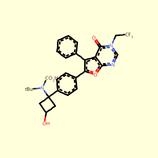 CC(C)(C)N(C(=O)O)C1(c2ccc(-c3oc4ncn(CC(F)(F)F)c(=O)c4c3-c3ccccc3)cc2)CC(O)C1